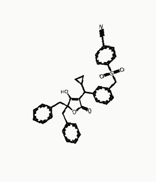 N#Cc1ccc(S(=O)(=O)Cc2cccc(C(C3=C(O)C(Cc4ccccc4)(Cc4ccccc4)OC3=O)C3CC3)c2)cc1